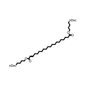 CCCCCCCCCCCCCCOC(=O)C=CCCCCCCCCCCCCCCCCC(=O)OCCCCCCCCCCCCCC